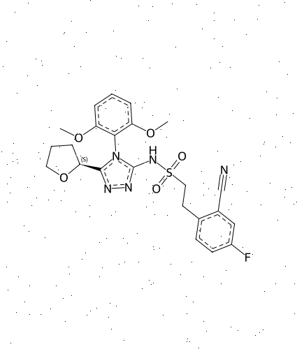 COc1cccc(OC)c1-n1c(NS(=O)(=O)CCc2ccc(F)cc2C#N)nnc1[C@@H]1CCCO1